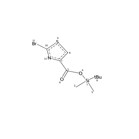 CC(C)(C)[Si](C)(C)OC(=O)c1csc(Br)n1